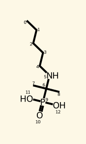 CCCCCNC(C)(C)P(=O)(O)O